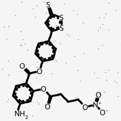 Nc1ccc(C(=O)Oc2ccc(-c3cc(=S)ss3)cc2)c(OC(=O)CCCO[N+](=O)[O-])c1